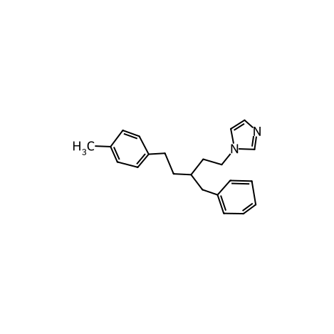 Cc1ccc(CCC(CCn2ccnc2)Cc2ccccc2)cc1